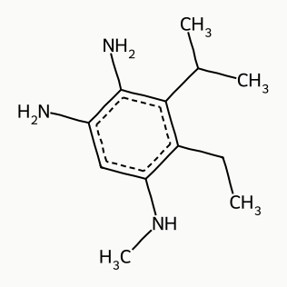 CCc1c(NC)cc(N)c(N)c1C(C)C